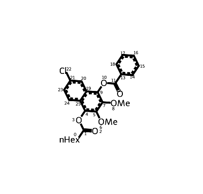 CCCCCCC(=O)Oc1c(OC)c(OC)c(OC(=O)c2ccccc2)c2cc(Cl)ccc12